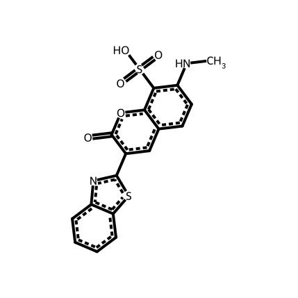 CNc1ccc2cc(-c3nc4ccccc4s3)c(=O)oc2c1S(=O)(=O)O